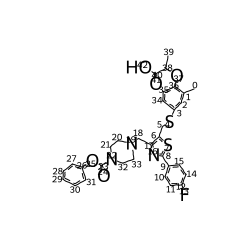 Cc1cc(SCc2sc(-c3ccc(F)cc3)nc2CN2CCN(C(=O)Oc3ccccc3)CC2)ccc1OC(C)C(=O)O